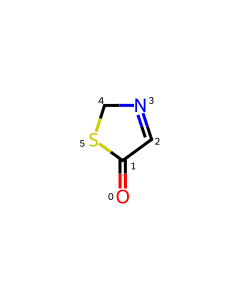 O=C1C=NCS1